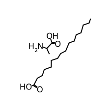 CC(N)C(=O)O.CCCCCCCCCCCCCCCC(=O)O